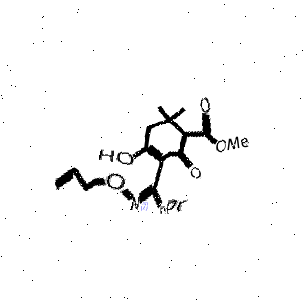 C=CCO/N=C(/CCC)C1=C(O)CC(C)(C)C(C(=O)OC)C1=O